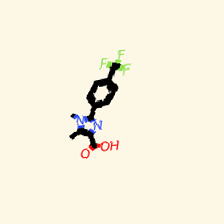 Cc1c(C(=O)O)nc(-c2ccc(C(F)(F)F)cc2)n1C